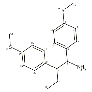 CCC([C](N)c1ccc(SC)cc1)c1ccc(SC)cc1